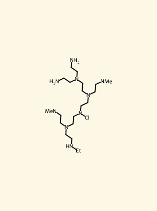 CCNCCN(CCNC)CCN(Cl)CCN(CCNC)CCN(CCN)CCN